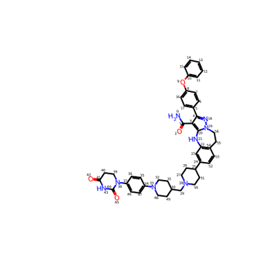 NC(=O)c1c(-c2ccc(Oc3ccccc3)cc2)nn2c1Nc1cc(C3CCN(CC4CCN(c5ccc(N6CCC(=O)NC6=O)cc5)CC4)CC3)ccc1CC2